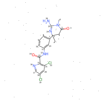 CN1C(=O)CC(C)(c2cccc(NC(=O)c3ncc(Cl)cc3Cl)c2)N=C1N